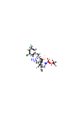 CC(C)(C)OC(=O)N1C[C@H]2C[C@H]2[C@@H]1[C@@H](O)[C@@H](N)Cc1cc(F)cc(F)c1